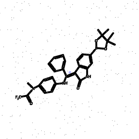 CN(C(=O)C(F)(F)F)c1ccc(N/C(=C2\C(=O)Nc3cc(B4OC(C)(C)C(C)(C)O4)ccc32)c2ccccc2)cc1